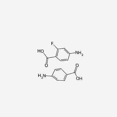 Nc1ccc(C(=O)O)c(F)c1.Nc1ccc(C(=O)O)cc1